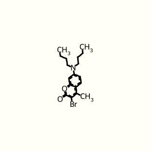 CCCCN(CCCC)c1ccc2c(C)c(Br)c(=O)oc2c1